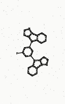 Fc1cc(-n2c3ccccc3n3nccc23)cc(-n2c3ccccc3n3nccc23)c1